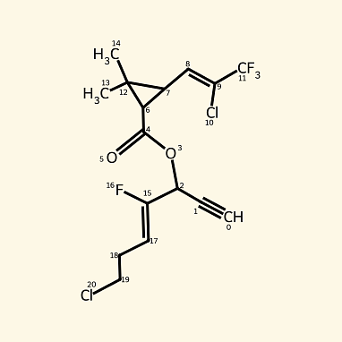 C#CC(OC(=O)C1C(C=C(Cl)C(F)(F)F)C1(C)C)C(F)=CCCCl